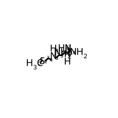 CSCCCNCC(N)CCNC(=N)N